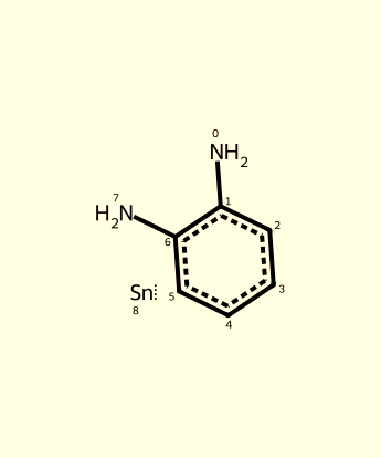 Nc1ccccc1N.[Sn]